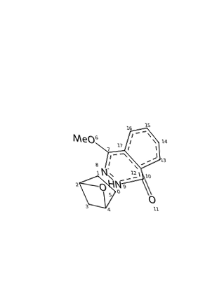 C1CC2CC1O2.COc1n[nH]c(=O)c2ccccc12